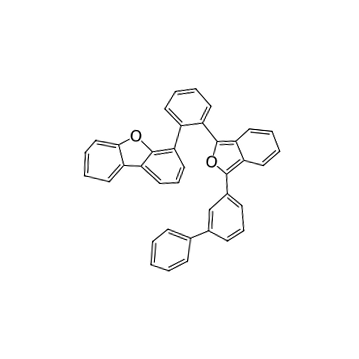 c1ccc(-c2cccc(-c3oc(-c4ccccc4-c4cccc5c4oc4ccccc45)c4ccccc34)c2)cc1